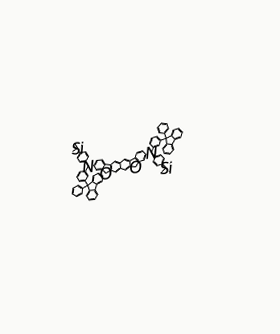 C[Si](C)(C)c1ccc(N(c2cccc(C3(c4ccccc4)c4ccccc4-c4ccccc43)c2)c2ccc3c(c2)oc2cc4cc5oc6cc(N(c7ccc([Si](C)(C)C)cc7)c7cccc(C8(c9ccccc9)c9ccccc9-c9ccccc98)c7)ccc6c5cc4cc23)cc1